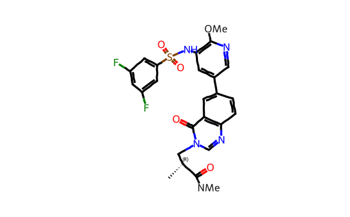 CNC(=O)[C@H](C)Cn1cnc2ccc(-c3cnc(OC)c(NS(=O)(=O)c4cc(F)cc(F)c4)c3)cc2c1=O